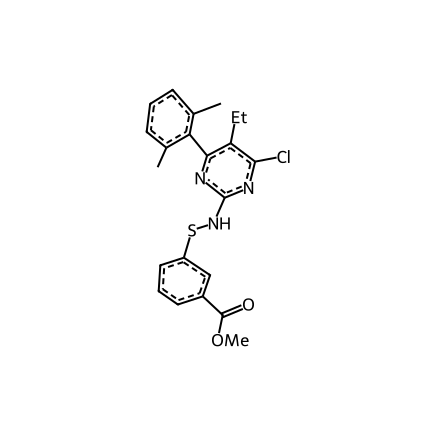 CCc1c(Cl)nc(NSc2cccc(C(=O)OC)c2)nc1-c1c(C)cccc1C